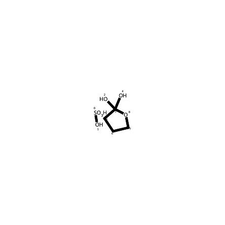 O=S(=O)(O)O.OC1(O)CCCO1